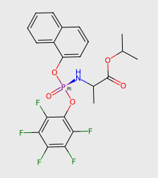 CC(C)OC(=O)C(C)N[P@](=O)(Oc1c(F)c(F)c(F)c(F)c1F)Oc1cccc2ccccc12